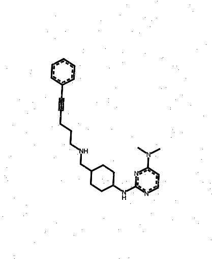 CN(C)c1ccnc(NC2CCC(CNCCCC#Cc3ccccc3)CC2)n1